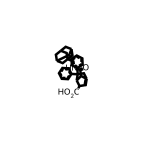 O=C(O)C1C=C2CC(c3ccccc3)(c3ccccc3)C1C2C(=O)NCC12CC3CC(CC(C3)C1)C2